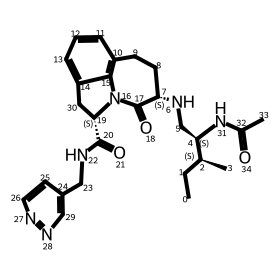 CC[C@H](C)[C@@H](CN[C@H]1CCc2cccc3c2N(C1=O)[C@H](C(=O)NCc1ccnnc1)C3)NC(C)=O